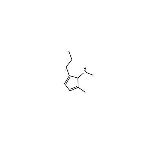 CCCC1=CC=C(C)C1PC